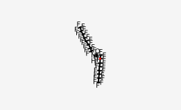 O=S(=O)(NC(F)(F)C(F)(F)C(F)(F)C(F)(F)C(F)(F)C(F)(F)C(F)(F)C(F)(F)F)C(F)(F)C(F)(F)C(F)(F)C(F)(F)C(F)(F)C(F)(F)C(F)(F)C(F)(F)F